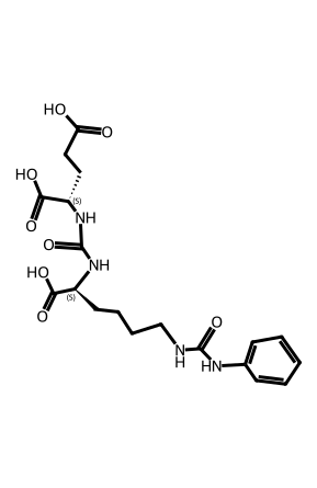 O=C(O)CC[C@H](NC(=O)N[C@@H](CCCCNC(=O)Nc1ccccc1)C(=O)O)C(=O)O